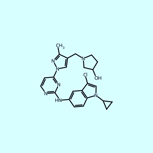 Cc1nn(-c2ccnc(Nc3ccc4c(c3)c(Cl)cn4C3CC3)n2)cc1CN1CCC(O)C1